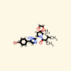 CC(C)[C@H](C)C(=O)N1CC2(C[C@H]1c1ncc(-c3ccc(Br)cc3)[nH]1)OCCO2